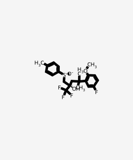 COc1ccc(F)cc1C(C)(C)C[C@](O)(C[S+]([O-])c1ccc(C)cc1)C(F)(F)F